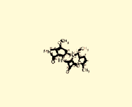 CC[C@@H](Nc1c(Nc2c(F)cc(OC)c3c2C(=O)NC3)c(=O)c1=O)c1ccc(C)o1